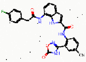 N#Cc1ccc(NC(=O)c2cc3cccc(NC(=O)Cc4ccc(F)cc4)c3[nH]2)c(-c2noc(=O)[nH]2)c1